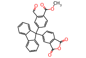 COC(=O)c1ccc(C2(c3ccc4c(c3)C(=O)OC4=O)c3ccccc3-c3ccccc32)cc1C=O